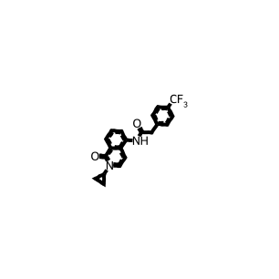 O=C(Cc1ccc(C(F)(F)F)cc1)Nc1cccc2c(=O)n(C3CC3)ccc12